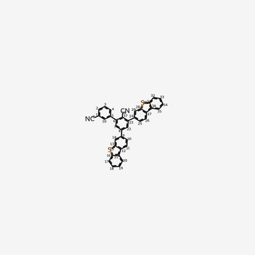 N#Cc1cccc(-c2cc(-c3ccc4c(c3)sc3ccccc34)cc(-c3ccc4c(c3)sc3ccccc34)c2C#N)c1